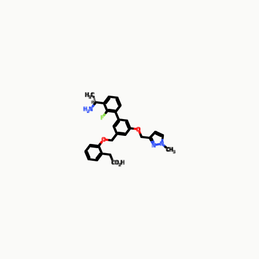 C[C@@H](N)c1cccc(-c2cc(COc3ccccc3CC(=O)O)cc(OCc3ccn(C)n3)c2)c1F